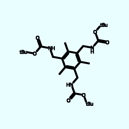 Cc1c(CNC(=O)OC(C)(C)C)c(C)c(CNC(=O)OC(C)(C)C)c(C)c1CNC(=O)OC(C)(C)C